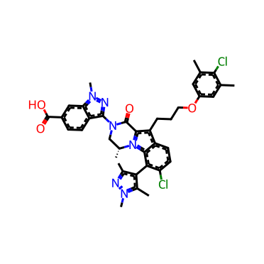 Cc1cc(OCCCc2c3n(c4c(-c5c(C)nn(C)c5C)c(Cl)ccc24)[C@H](C)CN(c2nn(C)c4cc(C(=O)O)ccc24)C3=O)cc(C)c1Cl